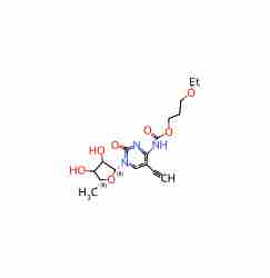 C#Cc1cn([C@@H]2O[C@H](C)C(O)C2O)c(=O)nc1NC(=O)OCCCOCC